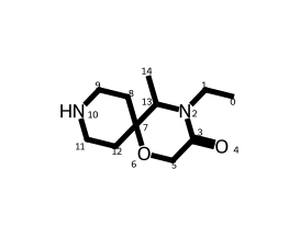 CCN1C(=O)COC2(CCNCC2)C1C